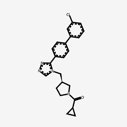 O=C(C1CC1)N1CC[C@@H](Cn2cnnc2-c2ccc(-c3cccc(Cl)c3)cc2)C1